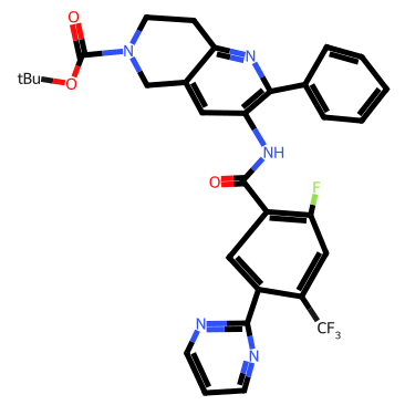 CC(C)(C)OC(=O)N1CCc2nc(-c3ccccc3)c(NC(=O)c3cc(-c4ncccn4)c(C(F)(F)F)cc3F)cc2C1